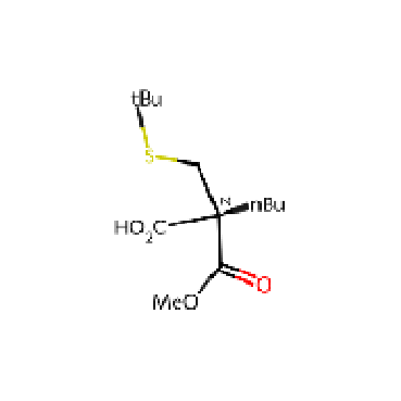 CCCC[C@](CSC(C)(C)C)(C(=O)O)C(=O)OC